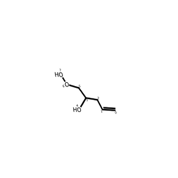 C=CCC(O)COO